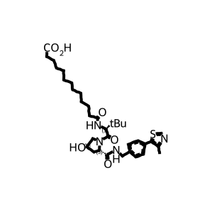 Cc1ncsc1-c1ccc(CNC(=O)[C@@H]2C[C@@H](O)CN2C(=O)[C@@H](NC(=O)CCCCCCCCCCCC(=O)O)C(C)(C)C)cc1